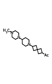 CC(=O)C1CC2(C1)CC(N1CCC(N3CCN(C)CC3)CC1)C2